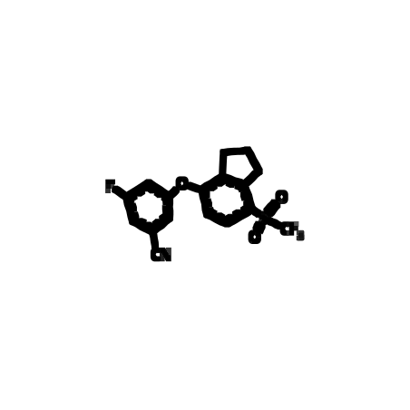 N#Cc1cc(F)cc(Oc2ccc(S(=O)(=O)C(F)(F)F)c3c2CCC3)c1